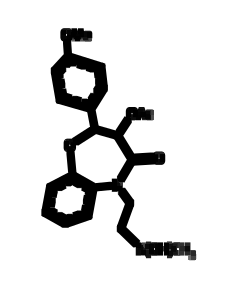 COc1ccc(C2Oc3ccccc3N(CCN(C)O)C(=O)C2OC(C)=O)cc1